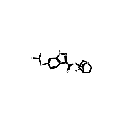 O=C(O[C@H]1CN2CCC1CC2)c1n[nH]c2cc(OC(F)F)ccc12